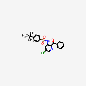 CC(C)(C)c1ccc(S(=O)(=O)Nc2cc(Cl)cnc2C(=O)c2ccccc2)cc1